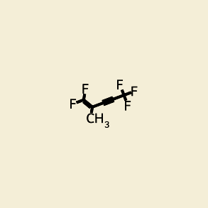 CC(C#CC(F)(F)F)=C(F)F